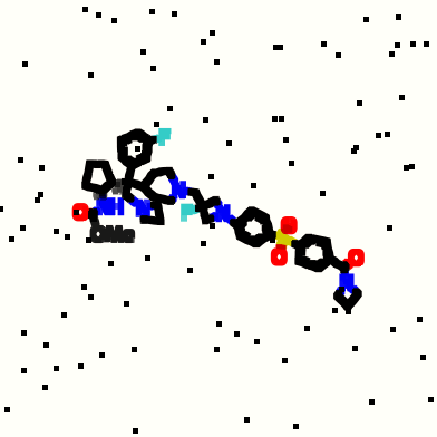 COC(=O)N[C@H]1CCC[C@@H]1C(CN1CCC1)(c1cccc(F)c1)C1CCN(CC2(F)CN(c3ccc(S(=O)(=O)c4ccc(C(=O)N5CCC5)cc4)cc3)C2)CC1